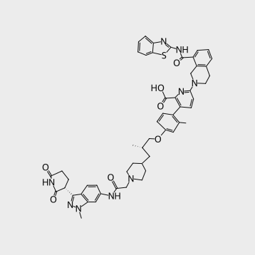 Cc1cc(OC[C@@H](C)CC2CCN(CC(=O)Nc3ccc4c([C@H]5CCC(=O)NC5=O)nn(C)c4c3)CC2)ccc1-c1ccc(N2CCc3cccc(C(=O)Nc4nc5ccccc5s4)c3C2)nc1C(=O)O